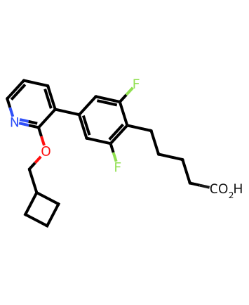 O=C(O)CCCCc1c(F)cc(-c2cccnc2OCC2CCC2)cc1F